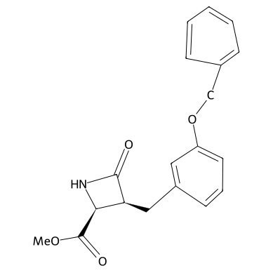 COC(=O)[C@H]1NC(=O)[C@H]1Cc1cccc(OCc2ccccc2)c1